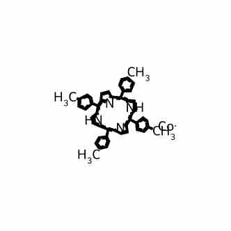 Cc1ccc(-c2c3nc(c(-c4ccc(C)cc4)c4ccc([nH]4)c(-c4ccc(C)cc4)c4nc(c(-c5ccc(C)cc5)c5ccc2[nH]5)C=C4)C=C3)cc1.[Co]